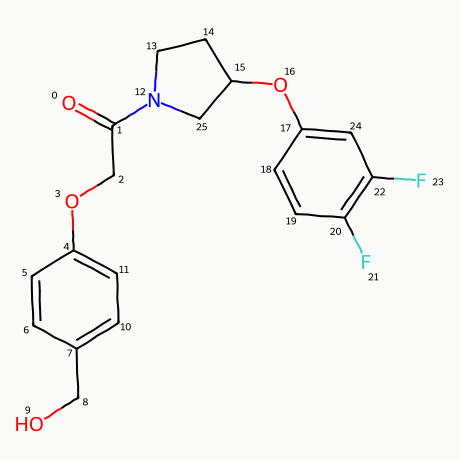 O=C(COc1ccc(CO)cc1)N1CCC(Oc2ccc(F)c(F)c2)C1